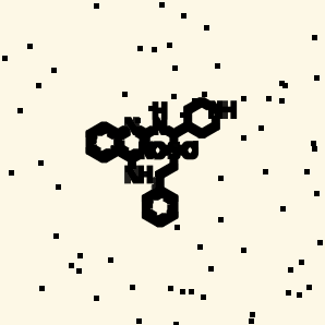 Nc1nc(NC(C2CCNCC2)S(=O)(=O)CCc2ccccc2)nc2ccccc12